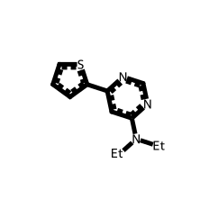 CCN(CC)c1cc(-c2cccs2)ncn1